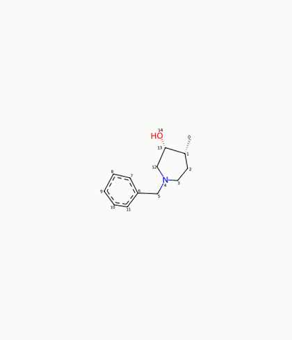 C[C@@H]1CCN(Cc2ccccc2)C[C@@H]1O